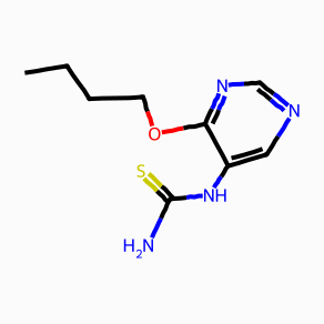 CCCCOc1ncncc1NC(N)=S